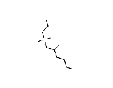 CCCCCCCCCCCC(O)C[N+](C)(C)CCC(=O)[O-]